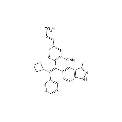 COc1cc(C=CC(=O)O)ccc1C(=C(c1ccccc1)C1CCC1)c1ccc2[nH]nc(F)c2c1